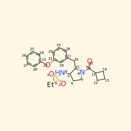 CCS(=O)(=O)NC1CCN(C(=O)C2CCC2)C1Cc1cccc(Oc2ccccc2)c1